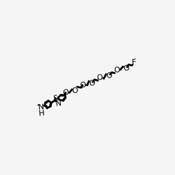 CNc1ccc(-c2nc3ccc(OCCOCCOCCOCCOCCOCCOCCOCCF)cc3s2)cc1